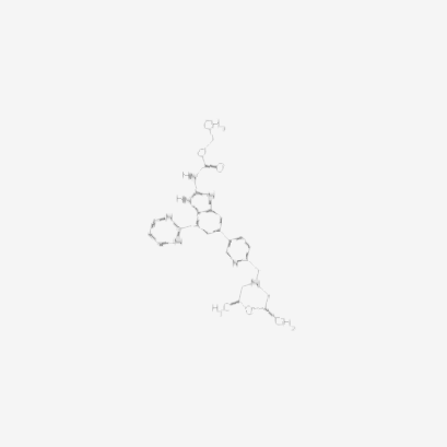 C=C1CN(Cc2ccc(-c3cc(-c4ncccn4)c4[nH]c(NC(=O)OCC)nc4c3)cn2)CC(=C)O1